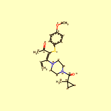 C=C/C(=C(/Sc1ccc(OC)cc1)C(C)=O)N1CCN(C(=O)C2(C)CC2)CC1